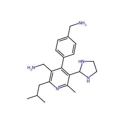 Cc1nc(CC(C)C)c(CN)c(-c2ccc(CN)cc2)c1C1NCCN1